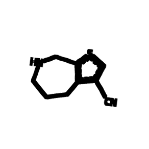 N#Cc1csc2c1CCCNC2